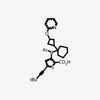 CC(=O)N(c1cc(C#CC(C)(C)C)sc1C(=O)O)C1(C2CC(Oc3ccccn3)C2)CCCCC1